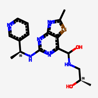 Cc1nc2nc(N[C@@H](C)c3cccnc3)nc(C(O)NC[C@H](C)O)c2s1